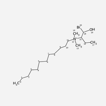 CCCCCCCCCCCC[N+](C)(C)C(CC)C(O)Br